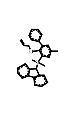 C=CCOc1c(-c2ccccc2)cc(C)cc1[Si](C)(C)C1c2ccccc2-c2ccccc21